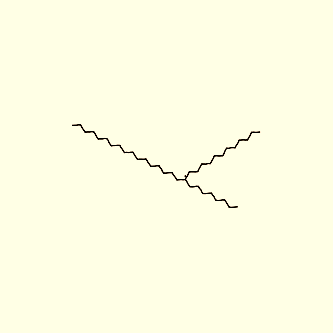 CCCCCCCCCCCCCCCCC[C](CCCCCCCC)CCCCCCCCCCCC